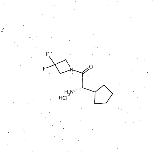 Cl.N[C@H](C(=O)N1CC(F)(F)C1)C1CCCC1